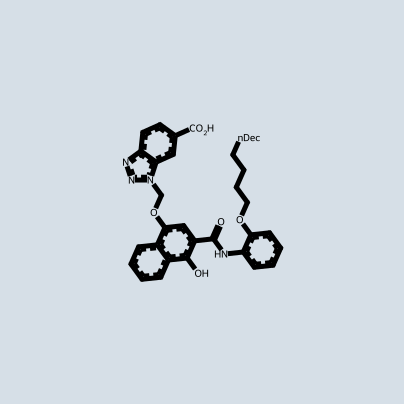 CCCCCCCCCCCCCCOc1ccccc1NC(=O)c1cc(OCn2nnc3ccc(C(=O)O)cc32)c2ccccc2c1O